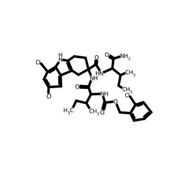 CCC(C)C(NC(=O)C1(NC(=O)C(NC(=O)OCc2ccccc2Cl)C(C)CC)CCc2[nH]c3c(Cl)cc(Cl)cc3c2C1)C(N)=O